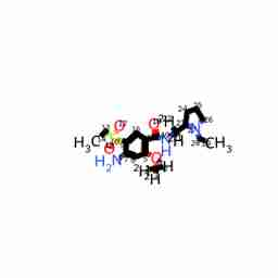 [2H]C([2H])([2H])Oc1cc(N)c(S(=O)(=O)CC)cc1C(=O)NC([2H])([2H])C1CCCN1CC